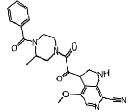 COc1cnc(C#N)c2c1C(C(=O)C(=O)N1CCN(C(=O)c3ccccc3)C(C)C1)CN2